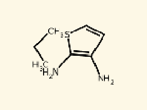 CCC.Nc1ccsc1N